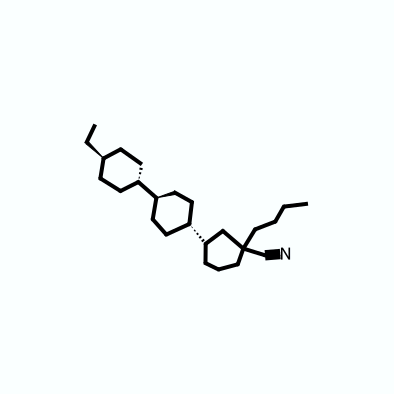 CCCCC1(C#N)CCCC([C@H]2CC[C@H]([C@H]3CC[C@H](CC)CC3)CC2)C1